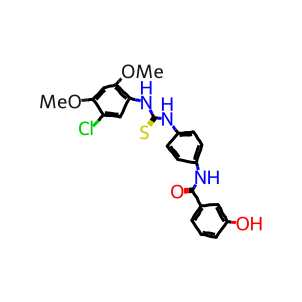 COc1cc(OC)c(NC(=S)Nc2ccc(NC(=O)c3cccc(O)c3)cc2)cc1Cl